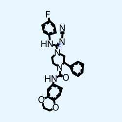 N#C/N=C(\Nc1ccc(F)cc1)N1CCN(C(=O)Nc2ccc3c(c2)OCCO3)C(c2ccccc2)C1